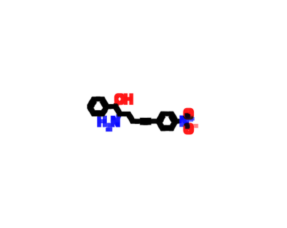 N[C@H](CCC#Cc1ccc([N+](=O)[O-])cc1)C(O)c1ccccc1